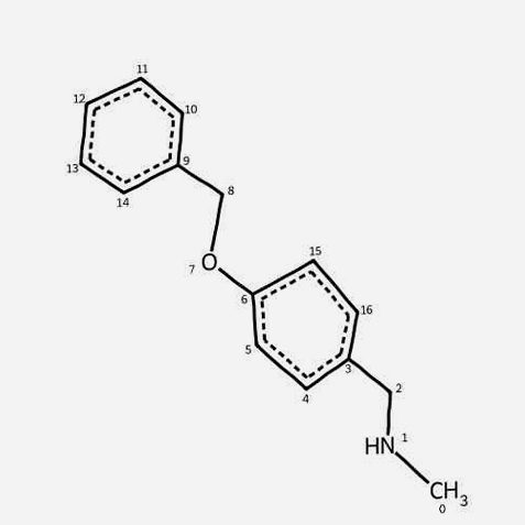 CNCc1ccc(OCc2ccccc2)cc1